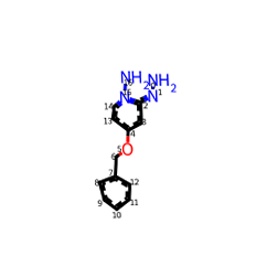 N/N=c1/cc(OCc2ccccc2)ccn1N